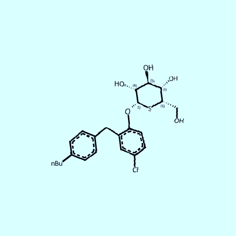 CCCCc1ccc(Cc2cc(Cl)ccc2O[C@H]2S[C@@H](CO)[C@@H](O)[C@H](O)[C@H]2O)cc1